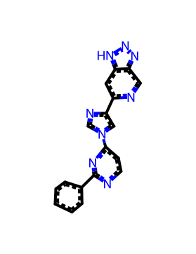 c1ccc(-c2nccc(-n3cnc(-c4cc5[nH]nnc5cn4)c3)n2)cc1